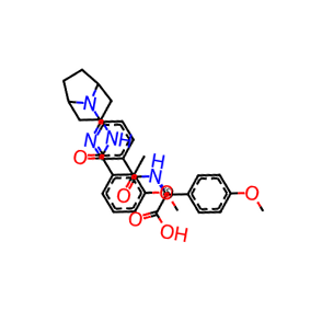 COc1ccc([C@H](NC(=O)c2ccc(N3C4CCC3CC(NC(=O)c3cccc(OC)c3C)C4)nc2)C(=O)O)cc1